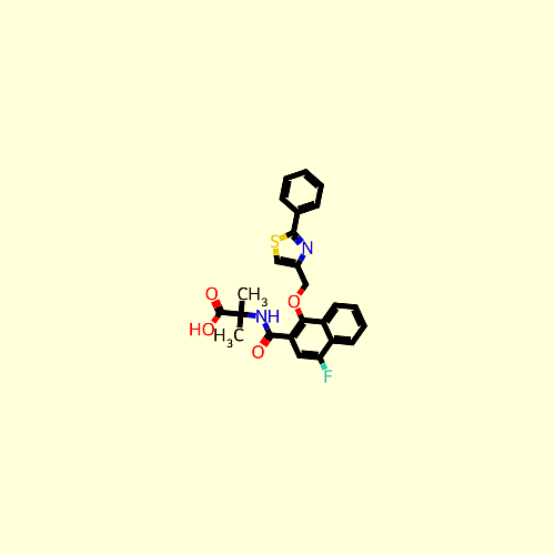 CC(C)(NC(=O)c1cc(F)c2ccccc2c1OCc1csc(-c2ccccc2)n1)C(=O)O